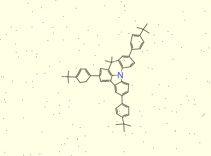 CC(C)(C)C1=CC=C(c2cc3c4c(c2)c2cc(-c5ccc(C(C)(C)C)cc5)ccc2n4-c2ccc(-c4ccc(C(C)(C)C)cc4)cc2C3(C)C)CC1